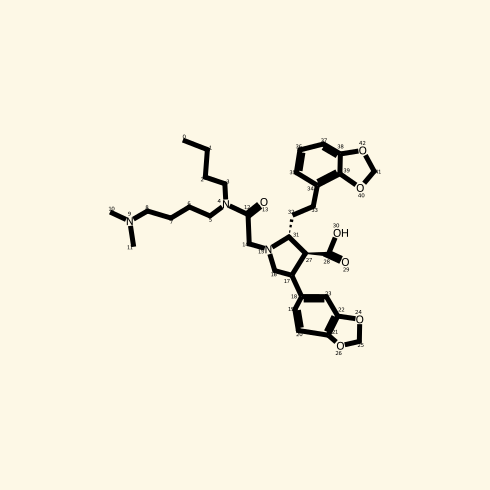 CCCCN(CCCCN(C)C)C(=O)CN1CC(c2ccc3c(c2)OCO3)[C@H](C(=O)O)[C@H]1CCc1cccc2c1OCO2